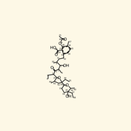 CCC(C(=O)C(C)C(O)C(C)CCc1ccc(C)c(OC(C)=O)c1C(=O)O)C1OC(CC)(C2CCC(O)(CC)C(C)O2)CC1C